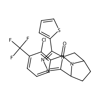 O=C(c1cccc(C(F)(F)F)c1Cl)N1C2CCC1c1nnc(-c3cccs3)n1C2